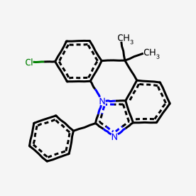 CC1(C)c2ccc(Cl)cc2-n2c(-c3ccccc3)nc3cccc1c32